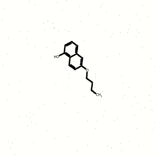 CCCCOc1ccc2c(O)cccc2c1